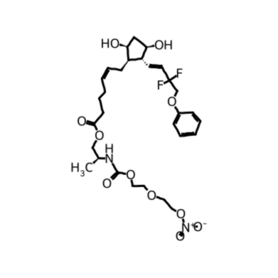 C[C@@H](COC(=O)CCC/C=C\C[C@@H]1[C@@H](/C=C/C(F)(F)COc2ccccc2)[C@H](O)C[C@@H]1O)NC(=O)OCCOCCO[N+](=O)[O-]